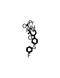 CC(C)C(=O)NCC1(C)NCCc2c1oc1cc(Sc3cccc(F)c3)ccc21